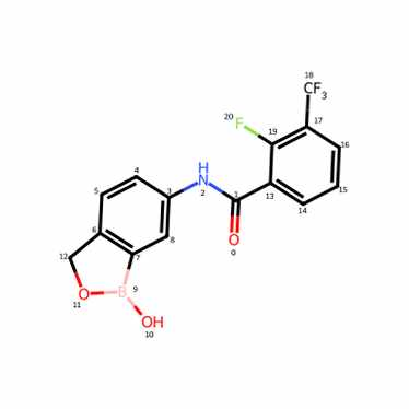 O=C(Nc1ccc2c(c1)B(O)OC2)c1cccc(C(F)(F)F)c1F